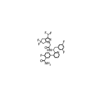 NC(=O)c1cc(-c2cccnc2C(Cc2cc(F)cc(F)c2)NC(=O)Cn2nc(C(F)F)c3c2CC(F)(F)C3)ccc1F